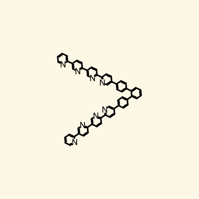 c1ccc(-c2ccc(-c3ccc(-c4ccc(-c5ccc(-c6ccccc6-c6ccc(-c7ccc(-c8ccc(-c9ccc(-c%10ccccn%10)cn9)cn8)nc7)cc6)cc5)cn4)nc3)nc2)nc1